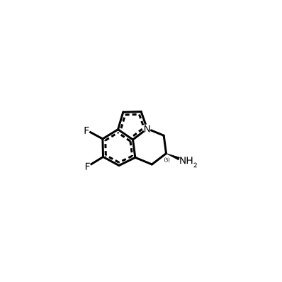 N[C@H]1Cc2cc(F)c(F)c3ccn(c23)C1